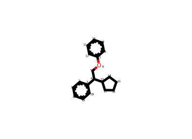 [c]1ccc(C(COc2ccccc2)C2CCCC2)cc1